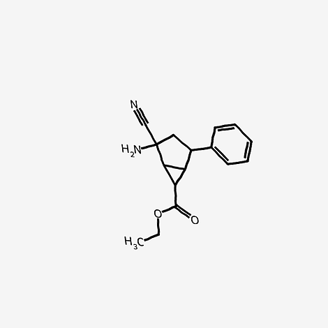 CCOC(=O)C1C2C(c3ccccc3)CC(N)(C#N)C12